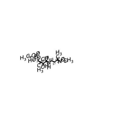 CCOP(=O)(O)OCC(C)(C)[C@H](O)C(=O)NCC/C(C)=N/OC